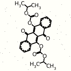 CC(C)OC(=O)OC1=C2C(=O)c3ccccc3C(OC(=O)OC(C)C)=C2C(=O)c2ccccc21